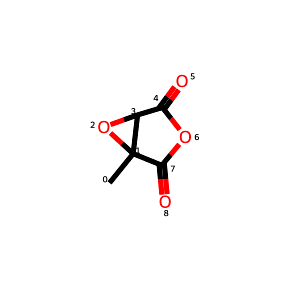 CC12OC1C(=O)OC2=O